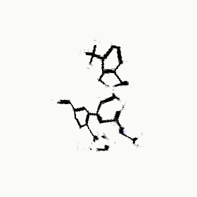 Cn1cnnc1-c1ccc(C#N)cc1-c1cc(/C=C/C(=O)O)nc(N2Cc3c(cccc3C(F)(F)F)C2=O)c1